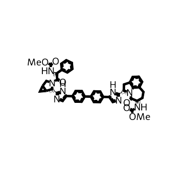 COC(=O)N[C@H]1CCc2cccc3c2N(C1=O)[C@H](c1ncc(-c2ccc(-c4ccc(-c5cnc([C@@H]6C7CC7CN6C(=O)[C@H](NC(=O)OC)c6ccccc6)[nH]5)cc4)cc2)[nH]1)C3